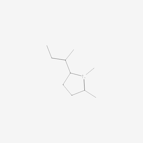 CCC(C)C1CCC(C)N1C